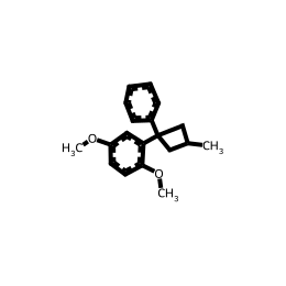 COc1ccc(OC)c(C2(c3ccccc3)CC(C)C2)c1